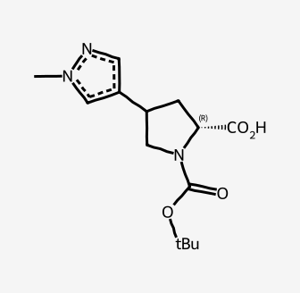 Cn1cc(C2C[C@H](C(=O)O)N(C(=O)OC(C)(C)C)C2)cn1